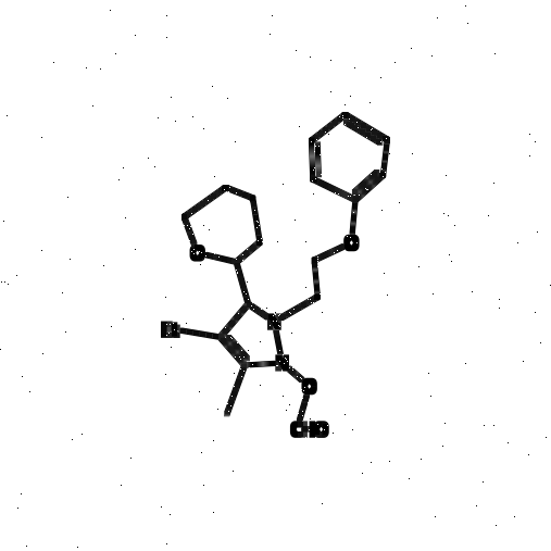 CCC1=C(C)N(OC=O)N(CCOc2ccccc2)C1C1CCCCO1